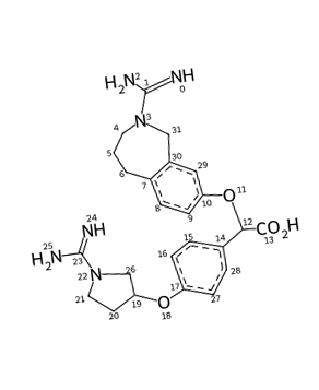 N=C(N)N1CCCc2ccc(OC(C(=O)O)c3ccc(OC4CCN(C(=N)N)C4)cc3)cc2C1